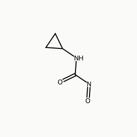 O=NC(=O)NC1CC1